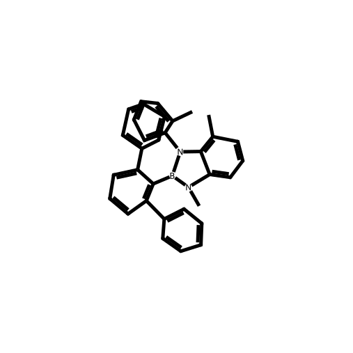 Cc1ccccc1N1B(c2c(-c3ccccc3)cccc2-c2ccccc2)N(C)c2cccc(C)c21